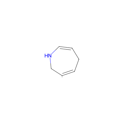 [C]1=CCC=CNC1